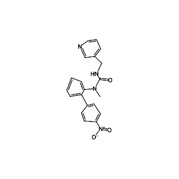 CN(C(=O)NCc1cccnc1)c1ccccc1-c1ccc([N+](=O)[O-])cc1